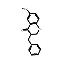 COc1ccc2c(c1)C(=O)C(Cc1ccccc1)CN2